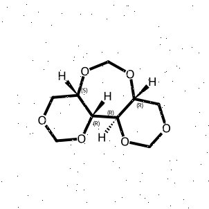 C1OC[C@@H]2OCO[C@@H]3COCO[C@H]3[C@@H]2O1